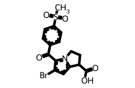 CS(=O)(=O)c1ccc(C(=O)c2c(Br)cc3n2CCC3C(=O)O)cc1